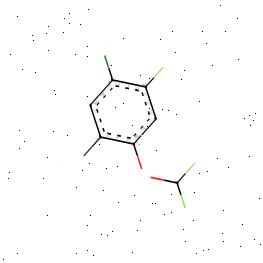 O=C(O)c1cc(Cl)c(F)cc1OC(F)F